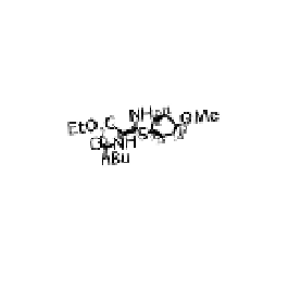 CCCCC(=O)NC(C(=O)OCC)=C(N)Sc1ccc(OC)cc1